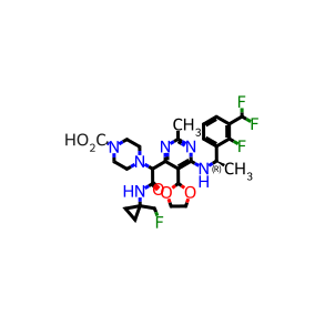 Cc1nc(N[C@H](C)c2cccc(C(F)F)c2F)c(C2OCCO2)c(C(C(=O)NC2(CF)CC2)N2CCN(C(=O)O)CC2)n1